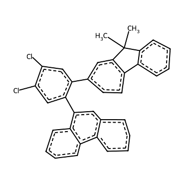 CC1(C)c2ccccc2-c2ccc(-c3cc(Cl)c(Cl)cc3-c3cc4ccccc4c4ccccc34)cc21